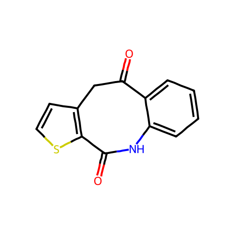 O=C1Cc2ccsc2C(=O)Nc2ccccc21